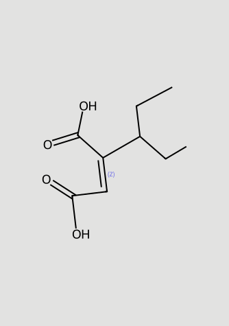 CCC(CC)/C(=C/C(=O)O)C(=O)O